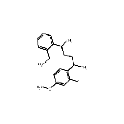 CCc1ccccc1C(C)CCC(C)c1ccc(OC)cc1F